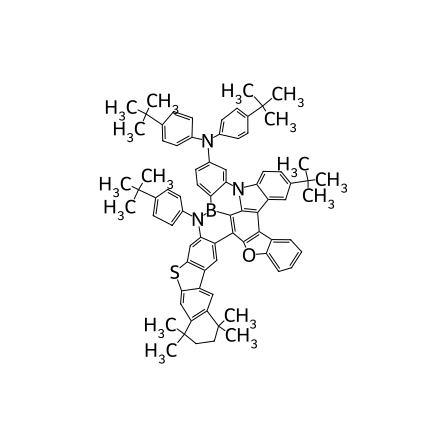 CC(C)(C)c1ccc(N2B3c4ccc(N(c5ccc(C(C)(C)C)cc5)c5ccc(C(C)(C)C)cc5)cc4-n4c5ccc(C(C)(C)C)cc5c5c6c(oc7ccccc76)c(c3c54)-c3cc4c(cc32)sc2cc3c(cc24)C(C)(C)CCC3(C)C)cc1